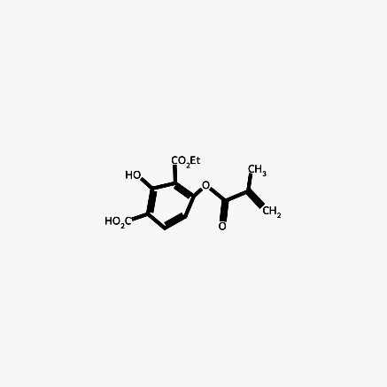 C=C(C)C(=O)Oc1ccc(C(=O)O)c(O)c1C(=O)OCC